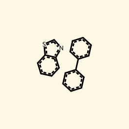 c1ccc(-c2ccccc2)cc1.c1ccc2scnc2c1